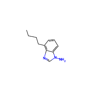 CCCCc1cccc2c1ncn2N